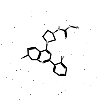 CC1C=Cc2c(nc(-c3ccccc3O)nc2N2CC[C@@H](NC(=O)OC(C)C)C2)C1